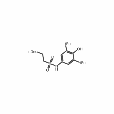 CCCCCCCCCCCCS(=O)(=O)Nc1cc(C(C)(C)C)c(O)c(C(C)(C)C)c1